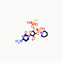 COC1C(OP(=O)(O)N2CCCCC2)[C@@H](COP(=O)(O)S)O[C@H]1n1ccc(N)nc1=O